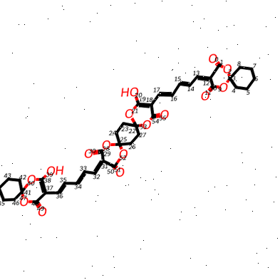 O=C1OC2(CCCCC2)OC(=O)C1=C/C=C/C=C/C1=C(O)OC2(CCC3(CC2)OC(=O)C(=C/C=C/C=C/C2=C(O)OC4(CCCCC4)OC2=O)C(=O)O3)OC1=O